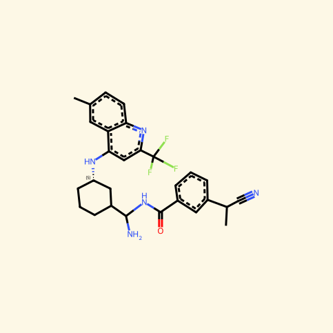 Cc1ccc2nc(C(F)(F)F)cc(N[C@H]3CCCC(C(N)NC(=O)c4cccc(C(C)C#N)c4)C3)c2c1